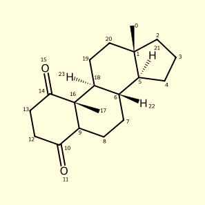 C[C@@]12CCC[C@H]1[C@@H]1CCC3C(=O)CCC(=O)[C@]3(C)[C@H]1CC2